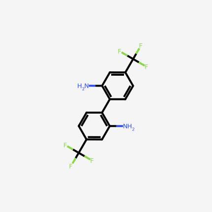 Nc1cc(C(F)(F)F)ccc1-c1ccc(C(F)(F)F)cc1N